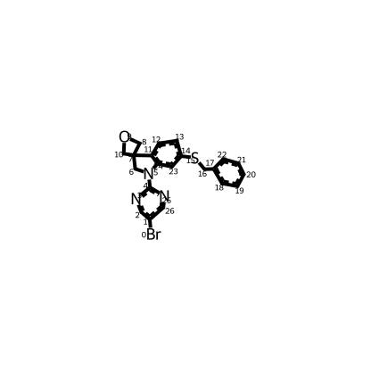 Brc1cnc(N2CC3(COC3)c3ccc(SCc4ccccc4)cc32)nc1